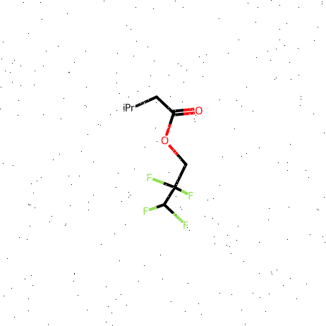 CC(C)CC(=O)OCC(F)(F)C(F)F